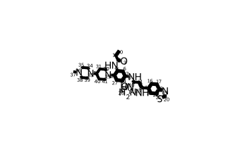 C=CC(=O)Nc1cc(NC(=N)/C=C(\NN)c2ccc3ncsc3c2)c(OC)cc1N1CCC(N2CCN(C)CC2)CC1